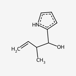 C=CC(C)C(O)c1ccc[nH]1